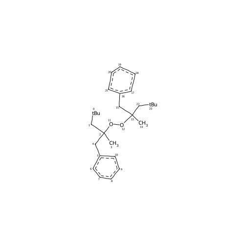 CC(C)(C)CC(C)(Cc1ccccc1)OOC(C)(Cc1ccccc1)CC(C)(C)C